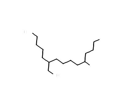 CCCCCC(CC)CCCCC(C)CCCC